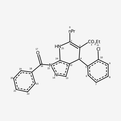 CCCC1=C(C(=O)OCC)C(c2ccccc2Cl)c2cnn(C(=O)c3ccccc3)c2N1